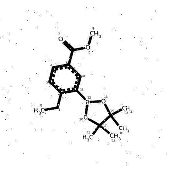 CCc1ccc(C(=O)OC)cc1B1OC(C)(C)C(C)(C)O1